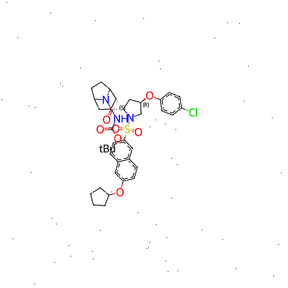 CC(C)(C)OC(=O)NC1CC2CCC(C1)N2C(=O)[C@@H]1C[C@@H](Oc2ccc(Cl)cc2)CN1S(=O)(=O)c1ccc2cc(OC3CCCC3)ccc2c1